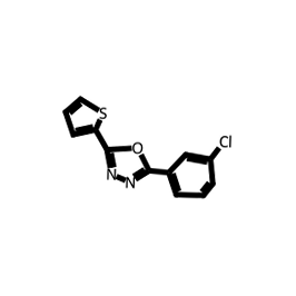 Clc1cccc(-c2nnc(-c3cccs3)o2)c1